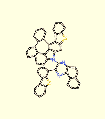 c1ccc2c(c1)-c1cccc3ccc4c(c13)c1c-2c2c(cc1n4-c1nc3ccc4ccccc4c3nc1-c1cccc3c1sc1ccccc13)sc1ccccc12